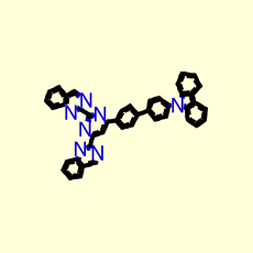 c1ccc2nc(-c3cc(-c4ccc(-c5ccc(-n6c7ccccc7c7ccccc76)cc5)cc4)nc(-c4ncc5ccccc5n4)n3)ncc2c1